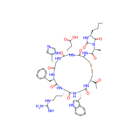 CCCC[C@@H]1NC(=O)N([C@@H](C)C(=O)N[C@H]2CSSC[C@@H](C(C)=O)NC(=O)[C@H](Cc3c[nH]c4ccccc34)NC(=O)[C@H](CCCNC(=N)N)NC(=O)[C@@H](Cc3ccccc3)NC(=O)[C@H](Cc3cnc[nH]3)NC(=O)[C@H](CCC(=O)O)NC2=O)C1=O